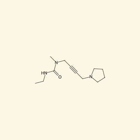 CCNC(=O)N(C)CC#CCN1CCCC1